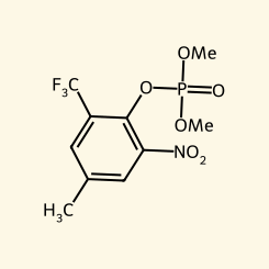 COP(=O)(OC)Oc1c([N+](=O)[O-])cc(C)cc1C(F)(F)F